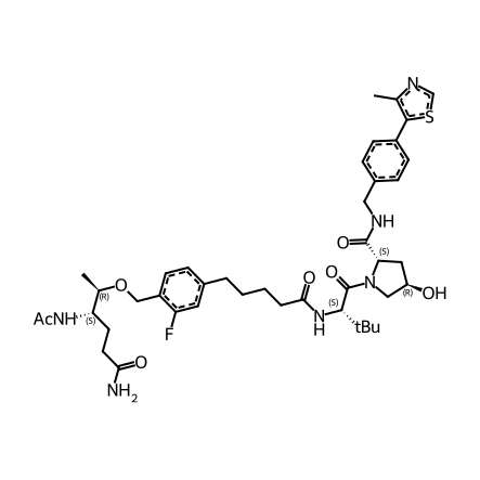 CC(=O)N[C@@H](CCC(N)=O)[C@@H](C)OCc1ccc(CCCCC(=O)N[C@H](C(=O)N2C[C@H](O)C[C@H]2C(=O)NCc2ccc(-c3scnc3C)cc2)C(C)(C)C)cc1F